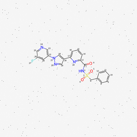 O=C(NS(=O)(=O)Cc1ccccc1)c1cccc(-c2cnn(-c3cncc(F)c3)c2)n1